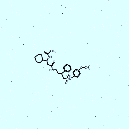 COc1ccc(NS(=O)(=O)CC(CCNC(=O)CC(NC(C)=O)C2CCCCC2)c2ccccc2)cc1